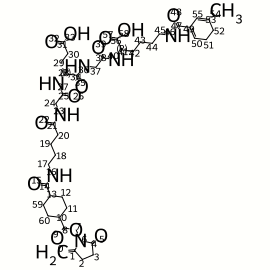 C=C1CCC(=O)N1OC(=O)C1CCC(C(=O)NCCCCC(=O)NCC(=O)N[C@H](CCC(=O)O)C(=O)NCC(=O)N[C@H](CCCCNC(=O)C2=CCCC(C)=C2)C(=O)O)CC1